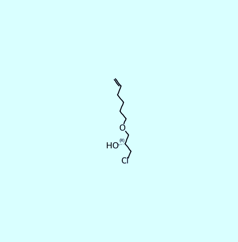 C=CCCCCOC[C@@H](O)CCl